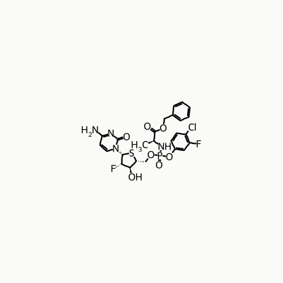 C[C@H](NP(=O)(OC[C@H]1S[C@@H](n2ccc(N)nc2=O)[C@@H](F)[C@@H]1O)Oc1ccc(Cl)c(F)c1)C(=O)OCc1ccccc1